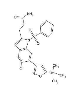 C[Si](C)(C)c1cc(-c2cc3c(cc2Cl)cc(CCC(N)=O)n3S(=O)(=O)c2ccccc2)no1